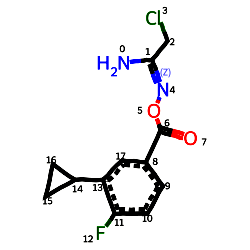 N/C(CCl)=N\OC(=O)c1ccc(F)c(C2CC2)c1